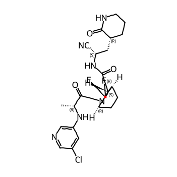 C[C@@H](Nc1cncc(Cl)c1)C(=O)N1[C@@H]2CC[C@H]([C@H]1C(=O)N[C@H](C#N)C[C@H]1CCCNC1=O)C(F)(F)C2